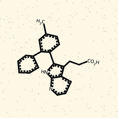 Cc1ccc(-c2[nH]c3ncccc3c2CCC(=O)O)c(-c2ccccc2)c1